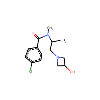 CC(CN1CC(O)C1)N(C)C(=O)c1ccc(Cl)cc1